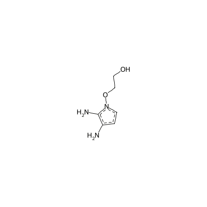 Nc1ccn(OCCO)c1N